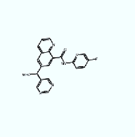 COC(c1cncnc1)c1cc(C(=O)Nc2ccc(F)cn2)c2ncccc2c1